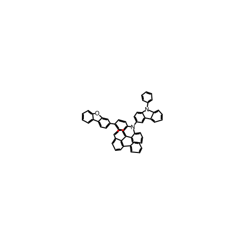 c1ccc(-c2cccc3cccc(-c4ccccc4N(c4ccc(-c5ccc6c(c5)oc5ccccc56)cc4)c4ccc5c(c4)c4ccccc4n5-c4ccccc4)c23)cc1